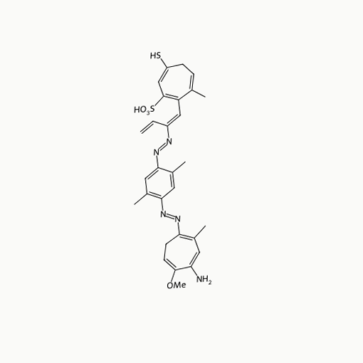 C=C/C(=C\C1=C(S(=O)(=O)O)C=C(S)CC=C1C)N=Nc1cc(C)c(N=NC2=C(C)C=C(N)C(OC)=CC2)cc1C